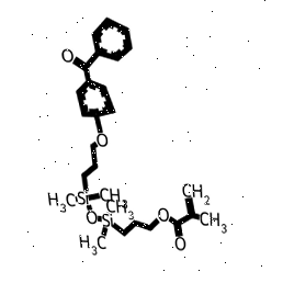 C=C(C)C(=O)OCCC[Si](C)(C)O[Si](C)(C)CCCOc1ccc(C(=O)c2ccccc2)cc1